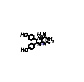 C=C/N=C1/N=C(c2ccc(O)cc2)C(c2ccc(O)cc2)=NC1=C(N)N